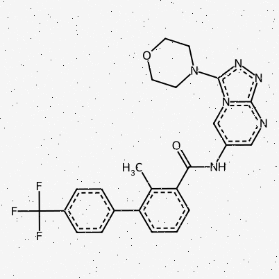 Cc1c(C(=O)Nc2cnc3nnc(N4CCOCC4)n3c2)cccc1-c1ccc(C(F)(F)F)cc1